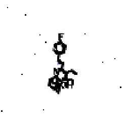 CCc1c(/C=C/c2ccc(F)cc2)nc2n(c1=O)C1CC1(C(=O)O)C=C2